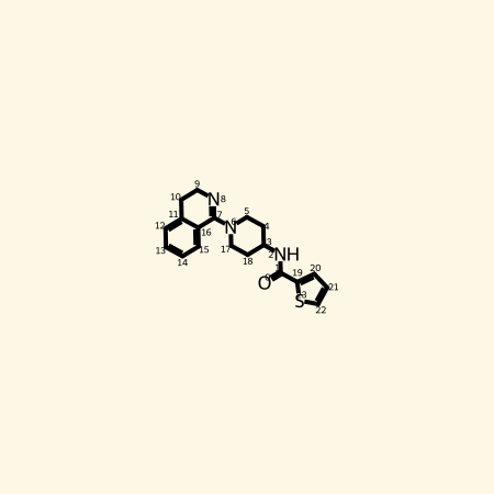 O=C(NC1CCN(C2=NCCc3ccccc32)CC1)c1cccs1